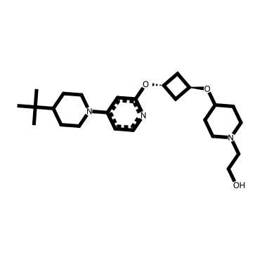 CC(C)(C)C1CCN(c2ccnc(O[C@H]3C[C@H](OC4CCN(CCO)CC4)C3)c2)CC1